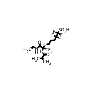 C=CNC(=O)C(OCCCC(F)(F)C(F)(F)S(=O)(=O)O)(OC(=O)C(=C)C)C(F)(F)F